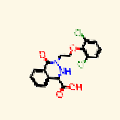 O=C(O)C1NN(CCOc2c(Cl)cccc2Cl)C(=O)c2ccccc21